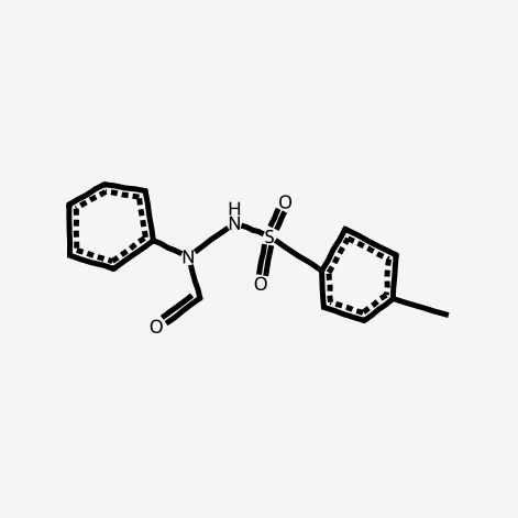 Cc1ccc(S(=O)(=O)NN(C=O)c2ccccc2)cc1